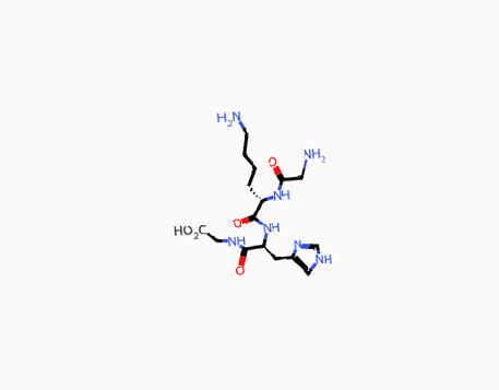 NCCCC[C@H](NC(=O)CN)C(=O)N[C@@H](Cc1c[nH]cn1)C(=O)NCC(=O)O